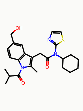 Cc1c(CC(=O)N(c2nccs2)C2CCCCC2)c2cc(CO)ccc2n1C(=O)C(C)C